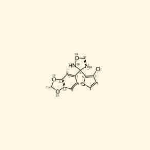 Clc1ccsc1C1(c2ccc3c(c2)OCO3)N=CON1